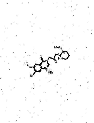 Br.Br.CCSc1cc2c(=O)n(CC(=O)C[C@@H]3NCCC[C@H]3OC)cnc2cc1Br